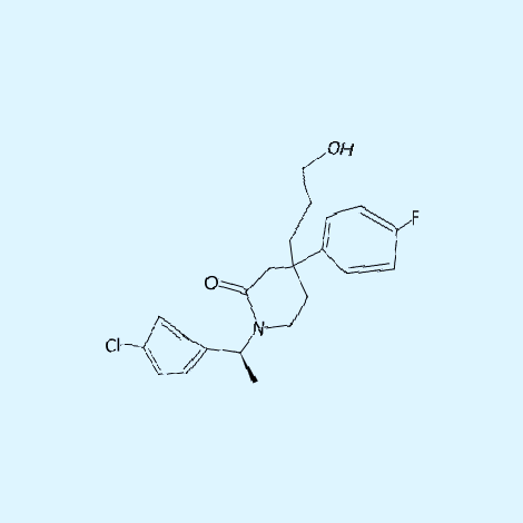 C[C@@H](c1ccc(Cl)cc1)N1CCC(CCCO)(c2ccc(F)cc2)CC1=O